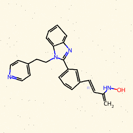 C=C(/C=C/c1cccc(-c2nc3ccccc3n2CCc2ccncc2)c1)NO